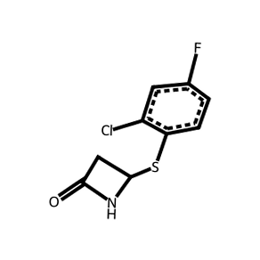 O=C1CC(Sc2ccc(F)cc2Cl)N1